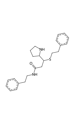 O=C(CC(SCCc1ccccc1)C1CCCN1)NCCc1ccccc1